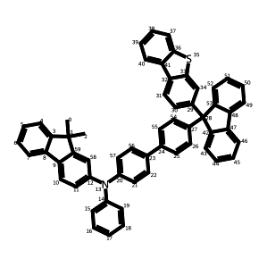 CC1(C)c2ccccc2-c2ccc(N(c3ccccc3)c3ccc(-c4ccc(C5(c6ccc7c(c6)sc6ccccc67)c6ccccc6-c6ccccc65)cc4)cc3)cc21